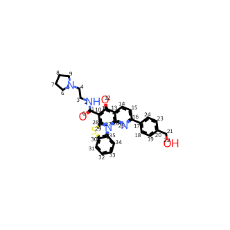 O=C(NCCN1CCCC1)c1c(=O)c2ccc(-c3ccc(CO)cc3)nc2n2c1sc1ccccc12